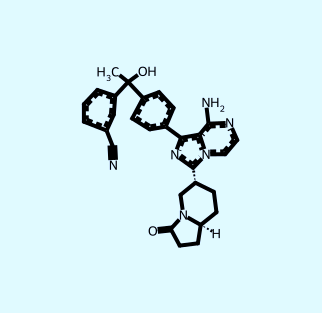 CC(O)(c1ccc(-c2nc([C@@H]3CC[C@H]4CCC(=O)N4C3)n3ccnc(N)c23)cc1)c1cccc(C#N)c1